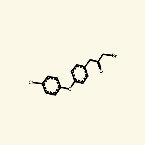 O=C(CBr)Cc1ccc(Oc2ccc(Cl)cc2)cc1